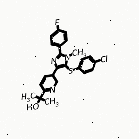 Cn1c(-c2ccc(F)cc2)nc(C2C=CC(C(C)(C)O)=NC2)c1Sc1ccc(Cl)cc1